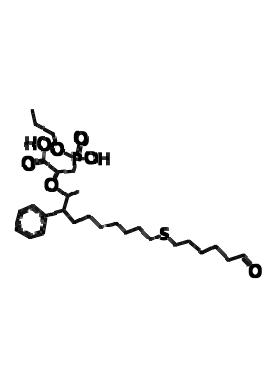 CCCOP(=O)(O)CC(OC(C)C(CCCCCCCSCCCCCC=O)c1ccccc1)C(=O)O